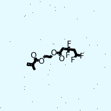 C=C(C)C(=O)OCCOC(=O)CC(F)(F)CC(F)F